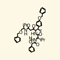 CC(C)C(COCc1ccccc1)NC(=O)CC(=O)C(NC(=O)[C@H](NC(=O)C(O)c1ccccc1)C(C)C)C(F)c1ccc(OCc2ccccc2)cc1